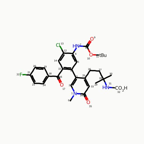 Cn1cc(-c2cc(NC(=O)OC(C)(C)C)c(Cl)cc2C(=O)c2ccc(F)cc2)c(CCC(C)(C)NC(=O)O)cc1=O